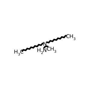 CCCCCCCCCCCCN(CCCCCCCCCCCC)C(CC)CN